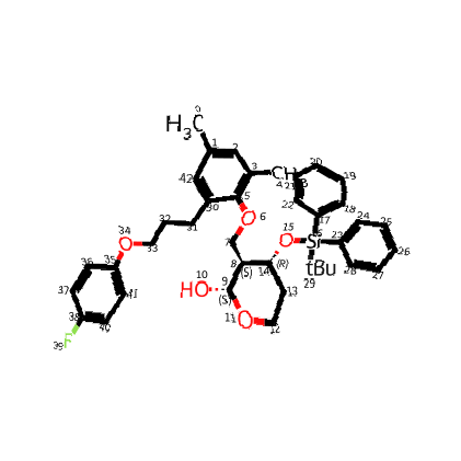 Cc1cc(C)c(OC[C@@H]2[C@@H](O)OCC[C@H]2O[Si](c2ccccc2)(c2ccccc2)C(C)(C)C)c(CCCOc2ccc(F)cc2)c1